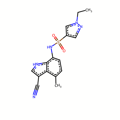 CCn1cc(S(=O)(=O)Nc2ccc(C)c3c(C#N)c[nH]c23)cn1